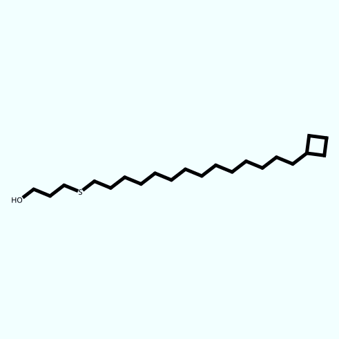 OCCCSCCCCCCCCCCCCCCC1CCC1